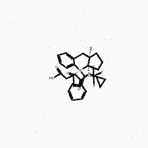 O=C(O)CCC(=O)N(C1CC1)[C@@]12CCC[C@@H]1Cc1ccccc1[N@+]2(C(=O)O)[C@@H](c1ccccc1)C(F)(F)F